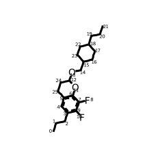 CCCc1cc2c(c(F)c1F)OC(OCC1CCC(CCC)CC1)CC2